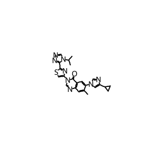 Cc1cc2ncn(-c3csc(-c4nncn4C(C)C)n3)c(=O)c2cc1-n1cnc(C2CC2)c1